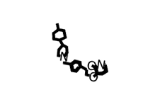 CC1CCC(C2CCN(Cc3ccc(C4COc5cccnc5O4)cc3)CC2)CC1